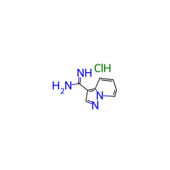 Cl.N=C(N)c1cnn2ccccc12